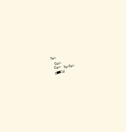 [Ga+3].[Ga+3].[S]=[Cd].[Te-2].[Te-2].[Te-2]